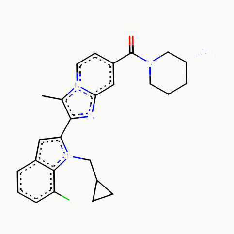 Cc1c(-c2cc3cccc(Cl)c3n2CC2CC2)nc2cc(C(=O)N3CCC[C@@H](N)C3)ccn12